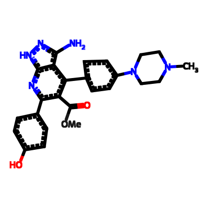 COC(=O)c1c(-c2ccc(O)cc2)nc2[nH]nc(N)c2c1-c1ccc(N2CCN(C)CC2)cc1